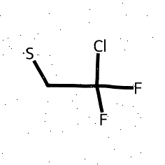 FC(F)(Cl)C[S]